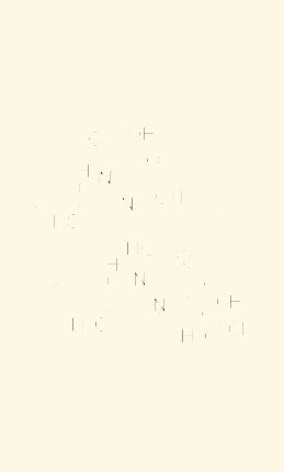 CC(C)(C)OC(=O)c1nc(CC(C)(C)c2ccccc2)nc(O)c1OCc1ccccc1.CC(C)(Cc1nc(O)c(OCc2ccccc2)c(C(=O)O)n1)c1ccccc1